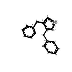 c1ccc(Cc2c[nH]nc2Cc2ccccc2)cc1